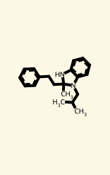 CC(C)CN1c2ccccc2NC1(C)CCc1ccccc1